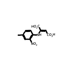 Cc1ccc(N/C(=C\C(=O)O)C(=O)O)c([N+](=O)[O-])c1